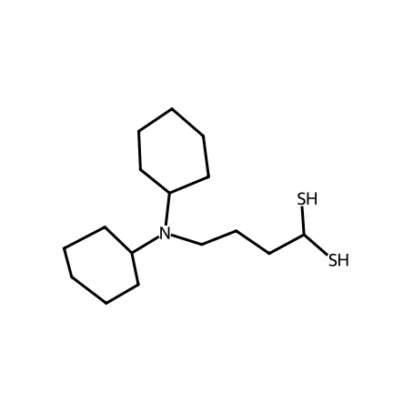 SC(S)CCCN(C1CCCCC1)C1CCCCC1